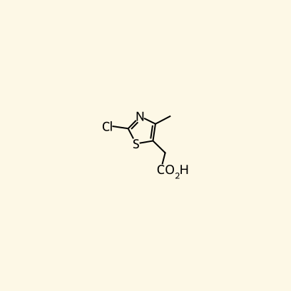 Cc1nc(Cl)sc1CC(=O)O